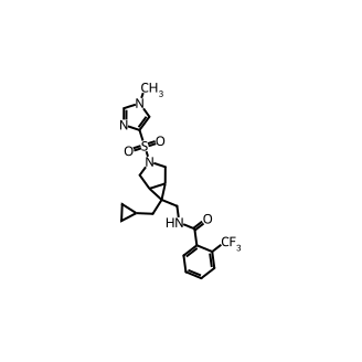 Cn1cnc(S(=O)(=O)N2CC3C(C2)C3(CNC(=O)c2ccccc2C(F)(F)F)CC2CC2)c1